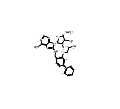 Nc1ncnc2c1nc(NCc1ccc(-c3ccccc3)cc1OCCO)n2[C@@H]1O[C@H](CO)[C@@H](O)[C@H]1O